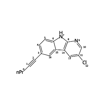 CCCC#Cc1ccc2[nH]c3ncc(Cl)cc3c2c1